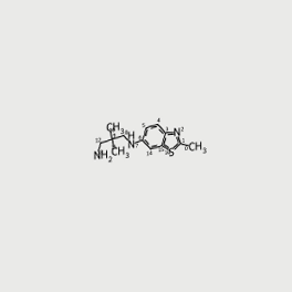 Cc1nc2ccc(NCC(C)(C)CN)cc2s1